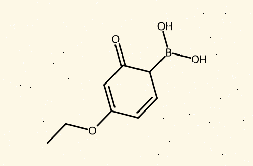 CCOC1=CC(=O)C(B(O)O)C=C1